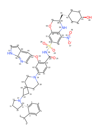 CC(C)c1ccccc1[C@@H]1CCCN1C1CC2(CCN(c3ccc(C(=O)NS(=O)(=O)c4cc5c(c([N+](=O)[O-])c4)N[C@H](C[C@H]4CC[C@H](O)CC4)CO5)c(Oc4cnc5[nH]ccc5c4)c3)CC2)C1